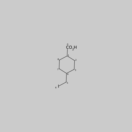 O=C(O)C1CCC(CI)CC1